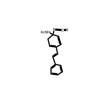 CC(=O)NC1(N=C=S)C=CC(C=Cc2ccccc2)=CC1